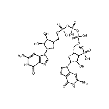 Nc1nc2c(ncn2C2OC(COP(=O)(O)OP(=O)(O)OP(=O)(O)OC[C@H]3O[C@@H](n4cnc5c(=O)[nH]c(N)nc54)C(O)C3O)C(P(=O)(O)O)C2O)c(=O)[nH]1